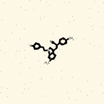 Cc1ccc(/C(C#N)=C/c2cn(CCc3ccc(F)cc3)c3cc(C)ccc23)cc1